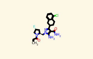 C=CC(=O)N1C[C@H](F)C[C@H]1Cn1nc(C2CCc3c(Cl)cccc3C2)c(C(N)=O)c1N